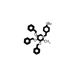 C[C@@H]1[C@@H](OCc2ccccc2)[C@H](OCc2ccccc2)[C@@H](OCc2ccccc2)CN1CC1CCC(C(C)(C)C)CC1